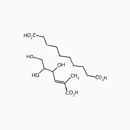 CC(=CC(O)C(O)CO)C(=O)O.O=C(O)CCCCCCCCC(=O)O